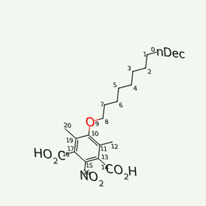 CCCCCCCCCCCCCCCCCCOc1c(C)c(C(=O)O)c([N+](=O)[O-])c(C(=O)O)c1C